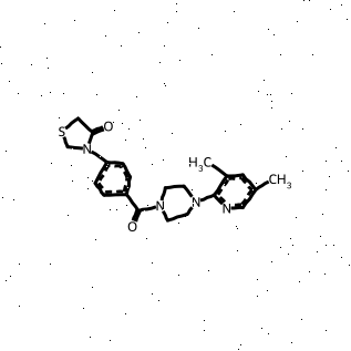 Cc1cnc(N2CCN(C(=O)c3ccc(N4CSCC4=O)cc3)CC2)c(C)c1